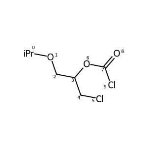 CC(C)OCC(CCl)OC(=O)Cl